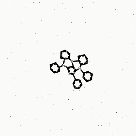 c1ccc(-c2sc3c4c2N(c2ccccc2)c2ccccc2B4c2ccccc2N3c2ccccc2)cc1